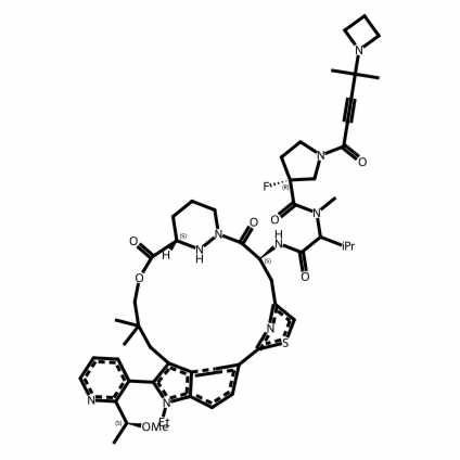 CCn1c(-c2cccnc2[C@H](C)OC)c2c3cc(ccc31)-c1nc(cs1)C[C@H](NC(=O)C(C(C)C)N(C)C(=O)[C@@]1(F)CCN(C(=O)C#CC(C)(C)N3CCC3)C1)C(=O)N1CCC[C@H](N1)C(=O)OCC(C)(C)C2